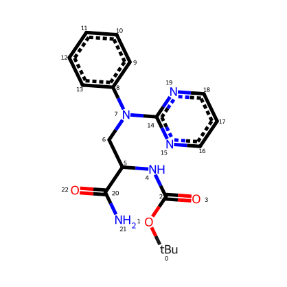 CC(C)(C)OC(=O)NC(CN(c1ccccc1)c1ncccn1)C(N)=O